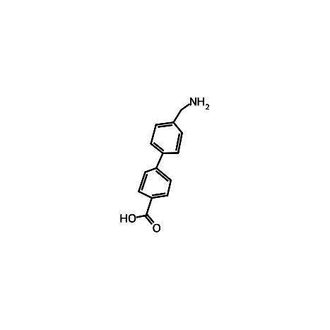 NCc1ccc(-c2ccc(C(=O)O)cc2)cc1